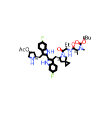 CC[C@H](NC(=O)[C@H](C)N(C)C(=O)OC(C)(C)C)C(=O)N1CC2(CC2)C[C@H]1Cc1c(-c2[nH]c3cc(F)ccc3c2C[C@@H]2C[C@H](OC(C)=O)CN2)[nH]c2cc(F)ccc12